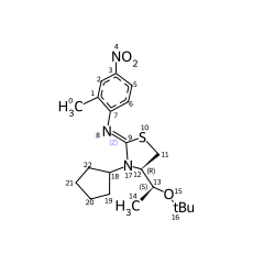 Cc1cc([N+](=O)[O-])ccc1/N=C1\SC[C@@H]([C@H](C)OC(C)(C)C)N1C1CCCC1